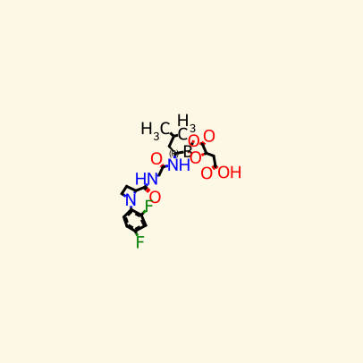 CC(C)C[C@H](NC(=O)CNC(=O)C1CCN1c1ccc(F)cc1F)B1OC(=O)C(CC(=O)O)O1